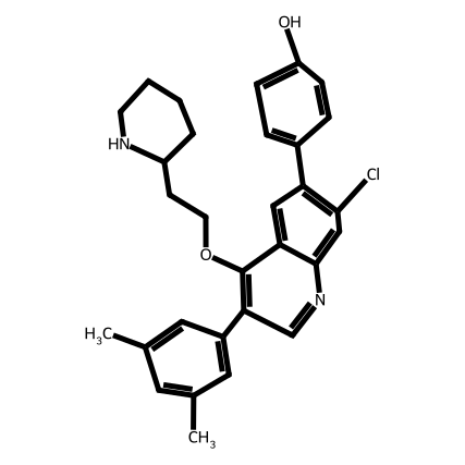 Cc1cc(C)cc(-c2cnc3cc(Cl)c(-c4ccc(O)cc4)cc3c2OCCC2CCCCN2)c1